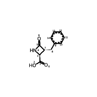 O=C(O)[C@H]1NC(=O)[C@@H]1Cc1ccccc1